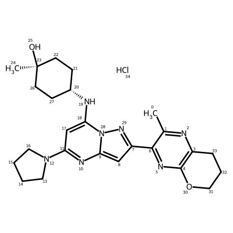 Cc1nc2c(nc1-c1cc3nc(N4CCCC4)cc(N[C@H]4CC[C@](C)(O)CC4)n3n1)OCCC2.Cl